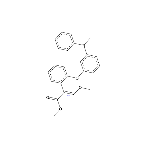 CO/C=C(/C(=O)OC)c1ccccc1Oc1cccc(N(C)c2ccccc2)c1